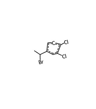 CC(Br)c1ccc(Cl)c(Cl)c1